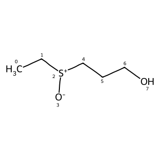 CC[S+]([O-])CCCO